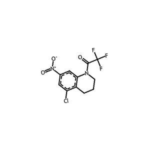 O=C(N1CCCc2c(Cl)cc([N+](=O)[O-])cc21)C(F)(F)F